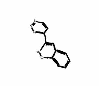 C1=C(c2ccnnn2)NOc2ccccc21